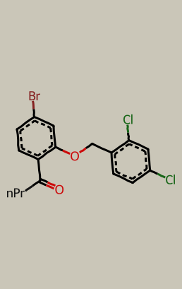 CCCC(=O)c1ccc(Br)cc1OCc1ccc(Cl)cc1Cl